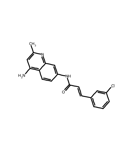 Cc1cc(N)c2ccc(NC(=O)/C=C/c3cccc(Cl)c3)cc2n1